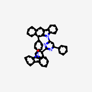 c1ccc(-c2cc(-n3c4ccccc4c4cc5ccccc5c(-c5ccc(-n6c7ccccc7c7ccccc76)cc5)c43)nc(-c3ccccc3)n2)cc1